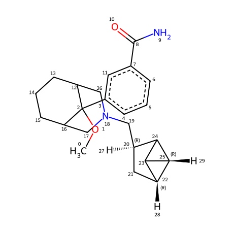 COC1(c2cccc(C(N)=O)c2)C2CCCC1CN(C[C@@H]1C[C@@H]3C4C1[C@@H]43)C2